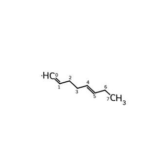 [CH]=CCC/C=C/CC